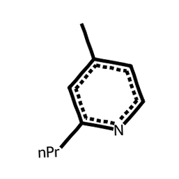 CCCc1cc(C)ccn1